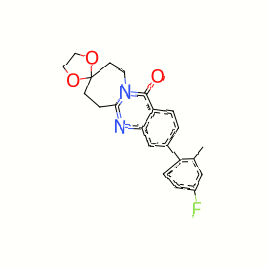 Cc1cc(F)ccc1-c1ccc2c(=O)n3c(nc2c1)CCC1(CC3)OCCO1